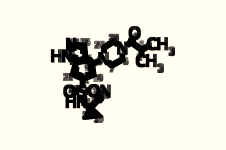 CC(C)C(=O)N1CCN(c2cc(S(=O)(=O)NC3(C#N)CC3)cc3[nH]ncc23)CC1